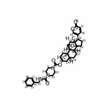 C[C@]12CC[C@H](OC(=O)N3CCN(C(=O)NCc4ccccc4)CC3)C[C@H]1CC[C@@H]1[C@@H]2CC[C@]2(C)[C@@H](c3ccc(=O)oc3)CC[C@]12O